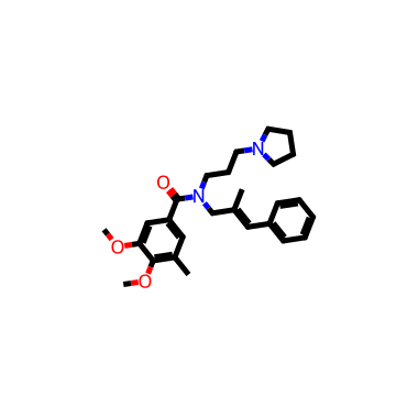 COc1cc(C(=O)N(CCCN2CCCC2)C/C(C)=C/c2ccccc2)cc(C)c1OC